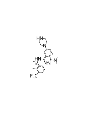 Cc1c([C@@H](C)Nc2nnc(N(C)C)c3ncc(N4CCNCC4)cc23)cccc1C(F)(F)F